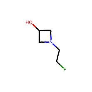 OC1CN(CCF)C1